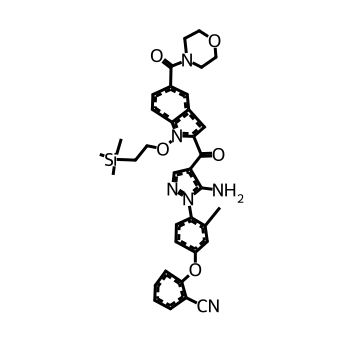 Cc1cc(Oc2ccccc2C#N)ccc1-n1ncc(C(=O)c2cc3cc(C(=O)N4CCOCC4)ccc3n2OCC[Si](C)(C)C)c1N